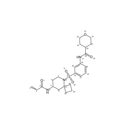 C=CC(=O)NC1CCN(S(=O)(=O)c2cccc(NC(=O)C3CCOCC3)c2)C2(CCC2)C1